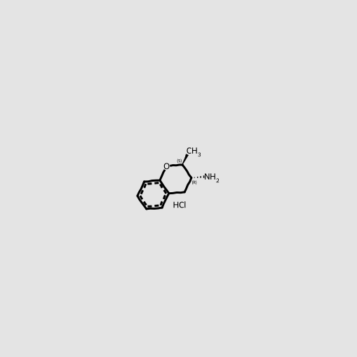 C[C@@H]1Oc2ccccc2C[C@H]1N.Cl